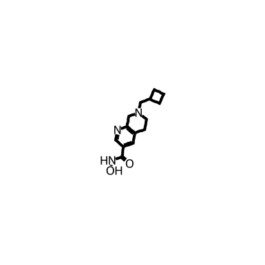 O=C(NO)c1cnc2c(c1)CCN(CC1CCC1)C2